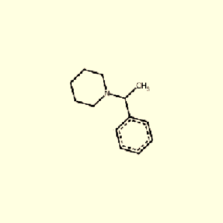 CC(c1[c]cccc1)N1CCCCC1